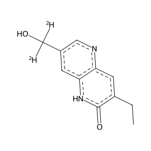 [2H]C([2H])(O)c1cnc2cc(CC)c(=O)[nH]c2c1